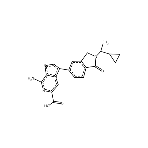 CC(C1CC1)N1Cc2cc(-c3cnc4c(N)nc(C(=O)O)cn34)ccc2C1=O